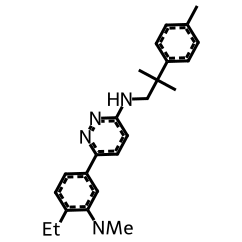 CCc1ccc(-c2ccc(NCC(C)(C)c3ccc(C)cc3)nn2)cc1NC